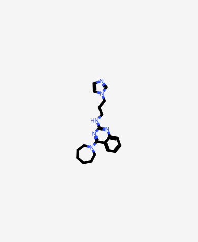 c1ccc2c(N3CCCCCC3)nc(NCCCn3ccnc3)nc2c1